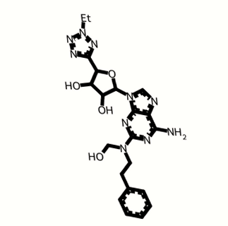 CCn1nnc(C2OC(n3cnc4c(N)nc(N(CO)CCc5ccccc5)nc43)C(O)C2O)n1